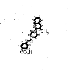 CC(Cc1ccccc1)C(=O)N1CCN(CCc2ccc(C(=O)O)cc2)CC1